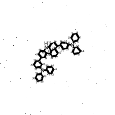 c1ccc(N(c2ccccc2)c2ccc(-c3ccc4c5c(cccc35)-c3cc(-c5cccc(N(c6ccccc6)c6ccccc6)c5)ccc3N4)cc2)cc1